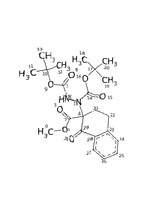 COC(=O)C1(N(NC(=O)OC(C)(C)C)C(=O)OC(C)(C)C)CCc2ccccc2C1=O